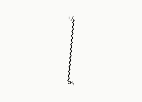 CCCCCCC[CH]CCCCCCCCCCCCCCCCCCCCCC